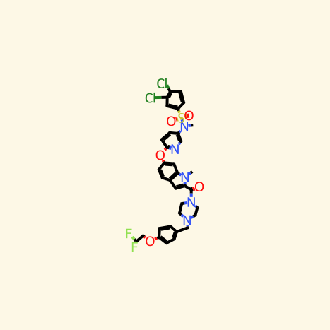 CN(c1ccc(Oc2ccc3cc(C(=O)N4CCN(Cc5ccc(OCC(F)F)cc5)CC4)n(C)c3c2)nc1)S(=O)(=O)c1ccc(Cl)c(Cl)c1